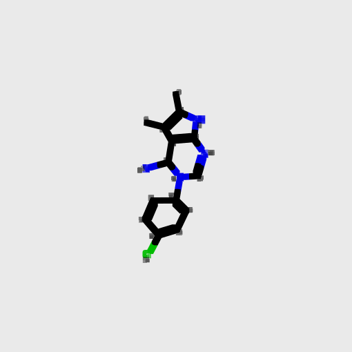 Cc1[nH]c2c(c1C)C([N])N(c1ccc(Cl)cc1)C=N2